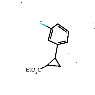 CCOC(=O)C1CC1c1cccc(F)c1